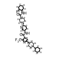 O=C(Nc1ccc(N2CCN(C(=O)Nc3ccccc3F)CC2)nc1)c1sc(N2CCC(c3ccccc3)CC2)nc1C(F)(F)F